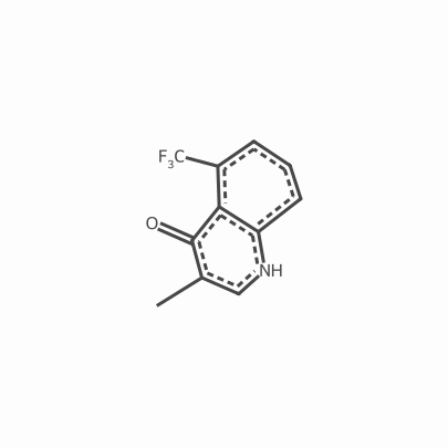 Cc1c[nH]c2cccc(C(F)(F)F)c2c1=O